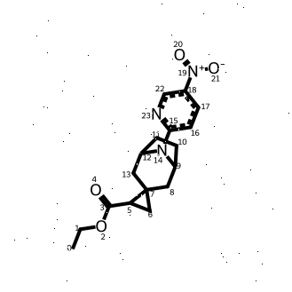 CCOC(=O)C1CC12CC1CCC(C2)N1c1ccc([N+](=O)[O-])cn1